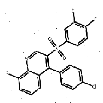 O=S(=O)(c1ccc(F)c(F)c1)c1cnc2c(F)cccc2c1-c1ccc(Cl)cc1